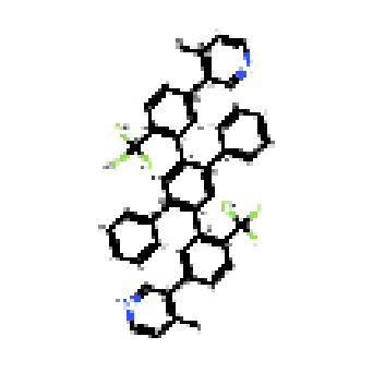 Cc1ccncc1-c1ccc(C(F)(F)F)c(-c2cc(-c3ccccc3)c(-c3cc(-c4cnccc4C)ccc3C(F)(F)F)cc2-c2ccccc2)c1